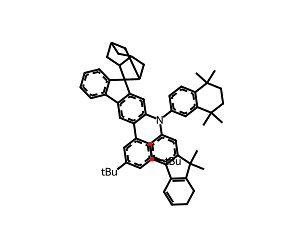 CC(C)(C)c1cc(-c2cc3c(cc2N(c2ccc4c(c2)C(C)(C)CCC4(C)C)c2ccc4c(c2)C(C)(C)C2=C4C=CCC2)C2(c4ccccc4-3)C3CC4CC(C3)C2C4)cc(C(C)(C)C)c1